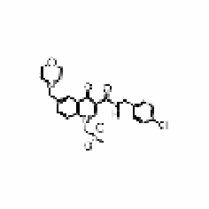 CS(=O)(=O)Cn1cc(C(=O)NCc2ccc(Cl)cc2)c(=O)c2cc(CN3CCOCC3)ccc21